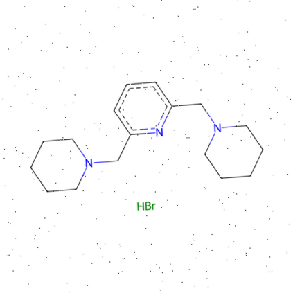 Br.c1cc(CN2CCCCC2)nc(CN2CCCCC2)c1